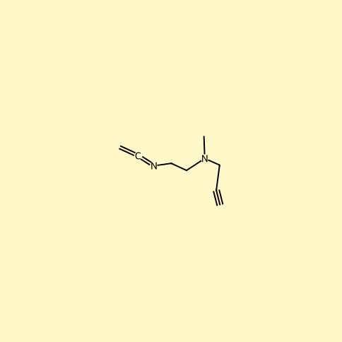 C#CCN(C)CCN=C=C